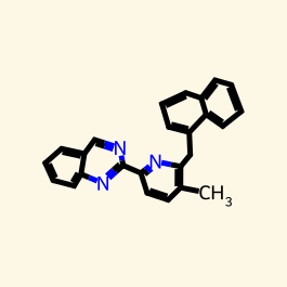 Cc1ccc(-c2ncc3ccccc3n2)nc1Cc1cccc2ccccc12